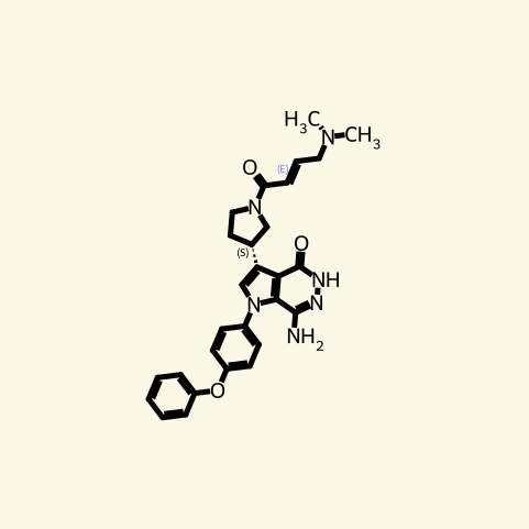 CN(C)C/C=C/C(=O)N1CC[C@@H](c2cn(-c3ccc(Oc4ccccc4)cc3)c3c(N)n[nH]c(=O)c23)C1